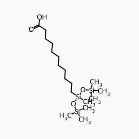 C[Si](C)(C)O[Si](C)(CCCCCCCCCCC(=O)O)O[Si](C)(C)C